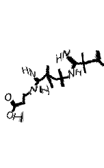 CC(C)C(C)(C)C(=N)NC(C)(C)C(C)(C)C(=N)NCCC(=O)O